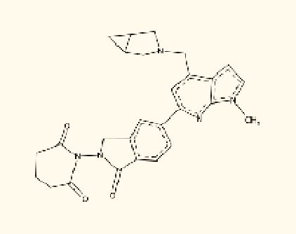 Cn1ccc2c(CN3CC4CC4C3)cc(-c3ccc4c(c3)CN(N3C(=O)CCCC3=O)C4=O)nc21